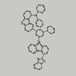 c1ccc(-c2cc(-c3ccc4sc5cccc(N(c6ccccc6)c6ccccc6)c5c4c3)cc(-n3c4ccccc4c4c(-c5nc6ccccc6o5)cccc43)c2)cc1